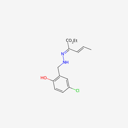 C/C=C/C(=N\NCc1cc(Cl)ccc1O)C(=O)OCC